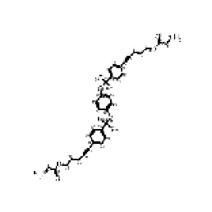 C=CC(=O)OCCCC#Cc1ccc(C(F)(F)Oc2ccc(OC(F)(F)c3ccc(C#CCCCOC(=O)C=C)cc3)cc2)cc1